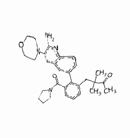 CC(=O)C(C)(C)Cc1cccc(C(=O)N2CCCC2)c1-c1ccc2nc(N)c(N3CCOCC3)cc2c1